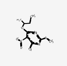 CCC(C)Oc1nc(SC)nc(Cl)c1[N+](=O)[O-]